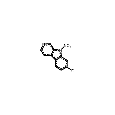 O=[N+]([O-])n1c2cnccc2c2ccc(Cl)cc21